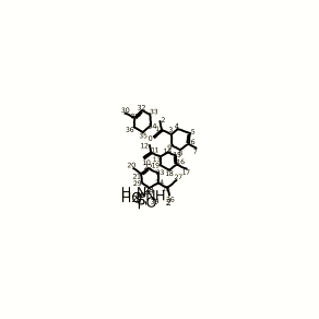 C=C(C)C1CC=C(C)CC1.C=C(C)C1CC=C(C)CC1.CC1=CCC(C(C)C)CC1.CC1=CCCCC1.NN.O=PO